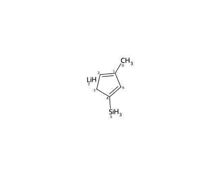 CC1=CCC([SiH3])=C1.[LiH]